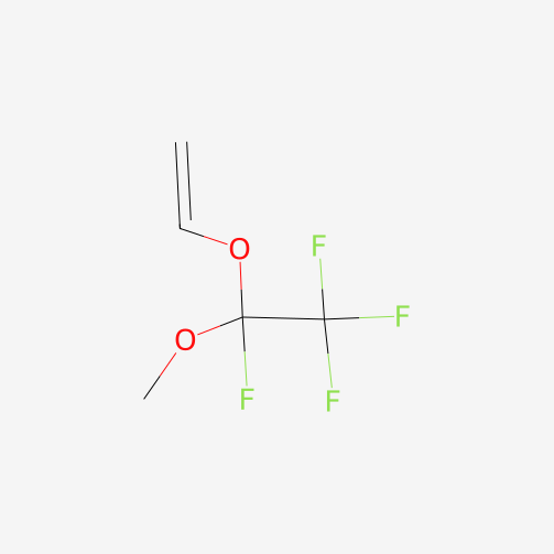 C=COC(F)(OC)C(F)(F)F